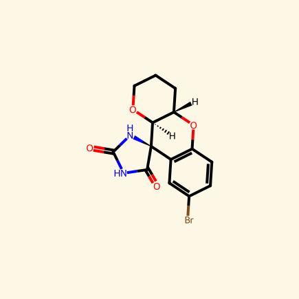 O=C1NC(=O)[C@@]2(N1)c1cc(Br)ccc1O[C@H]1CCCO[C@@H]12